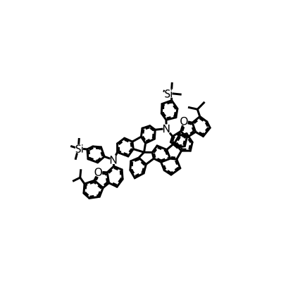 CC(C)c1cccc2c1oc1c(N(c3ccc([Si](C)(C)C)cc3)c3ccc4c(c3)C3(c5cc(N(c6ccc([Si](C)(C)C)cc6)c6cccc7c6oc6c(C(C)C)cccc67)ccc5-4)c4ccccc4-c4c3cc3c5c(cccc45)-c4ccccc4-3)cccc12